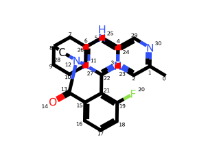 Cc1cnc(NC2CC3CCC2N(C(=O)c2cccc(F)c2-c2ncccn2)C3)cn1